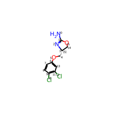 NC1=N[C@@H](COc2ccc(Cl)c(Cl)c2)CO1